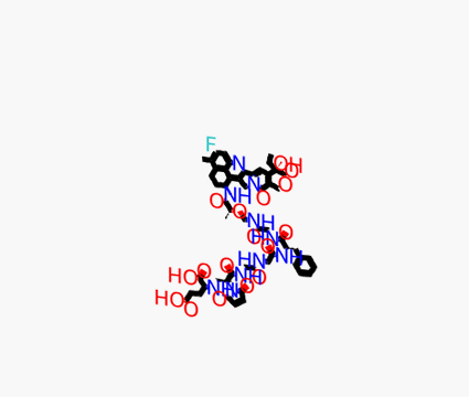 CC[C@@]1(O)C(=O)OCc2c1cc1n(c2=O)Cc2c-1nc1cc(F)c(C)c3c1c2[C@@H](NC(=O)[C@@H](C)OCNC(=O)CNC(=O)[C@H](Cc1ccccc1)NC(=O)CNC(=O)CNC(=O)[C@H](CNC(CCC(=O)O)C(=O)O)N1C(=O)C=CC1=O)CC3